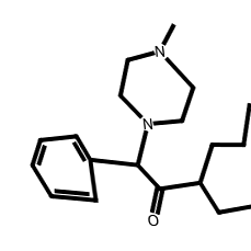 CCCC(CC)C(=O)C(c1ccccc1)N1CCN(C)CC1